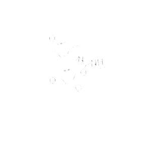 CCNC(=O)N1CCc2cc(OC)ccc2C1c1cc(OC)cc(OC)c1